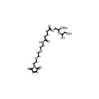 CCC(CO)OC(COC(=O)CCCC(=O)NCCOCCOCCN1C(=O)C=CC1=O)OC